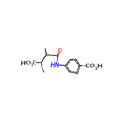 CC(C(=O)O)C(C)C(=O)Nc1ccc(C(=O)O)cc1